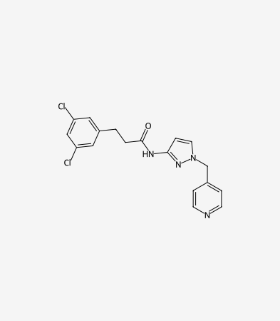 O=C(CCc1cc(Cl)cc(Cl)c1)Nc1ccn(Cc2ccncc2)n1